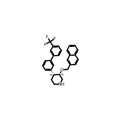 FC(F)(F)c1cccc(-c2cccc([C@H]3CCNC[C@@H]3OCc3ccc4ccccc4c3)c2)c1